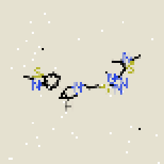 Cc1nc(C)c(-c2nnc(SCCCN3C[C@H]4C[C@@]4(c4ccc5sc(C)nc5c4)C3)n2C)s1